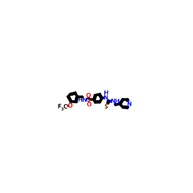 O=S(=O)(NCc1cccc(OC(F)(F)F)c1)c1ccc(NC(=S)NCc2ccncc2)cc1